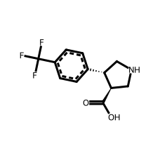 O=C(O)[C@@H]1CNC[C@H]1c1ccc(C(F)(F)F)cc1